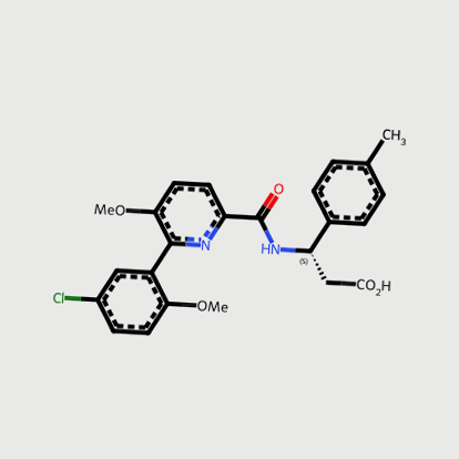 COc1ccc(Cl)cc1-c1nc(C(=O)N[C@@H](CC(=O)O)c2ccc(C)cc2)ccc1OC